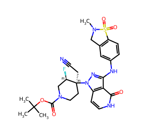 CN1Cc2cc(Nc3nn([C@@]4(CC#N)CCN(C(=O)OC(C)(C)C)C[C@H]4F)c4cc[nH]c(=O)c34)ccc2S1(=O)=O